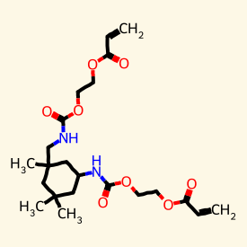 C=CC(=O)OCCOC(=O)NCC1(C)CC(NC(=O)OCCOC(=O)C=C)CC(C)(C)C1